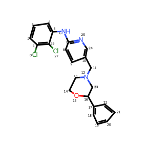 Clc1cccc(Nc2ccc(CN3CCOC(c4ccccc4)C3)cn2)c1Cl